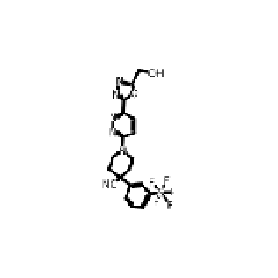 N#CC1(c2cccc(S(F)(F)(F)(F)F)c2)CCN(c2ccc(-c3nnc(CO)o3)nn2)CC1